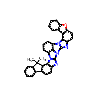 CC1(C)c2ccccc2-c2ccc3nc4n(c5cccc6c5n4c4nc5ccc7oc8ccccc8c7c5n64)c3c21